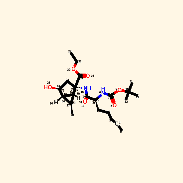 CCCCC[C@H](NC(=O)OC(C)(C)C)C(=O)N[C@@]1(C(=O)OCC)C[C@H](O)[C@H]2[C@H](C)[C@H]21